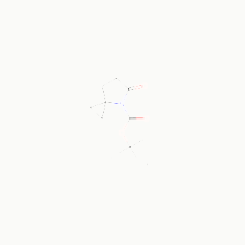 CC(C)(C)OC(=O)N1C(=O)CCC12CC2